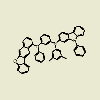 Cc1cc(C)cc(N(c2cccc(N(c3ccccc3)c3cccc4cc5oc6ccccc6c5cc34)c2)c2ccc3c4ccccc4n(-c4ccccc4)c3c2)c1